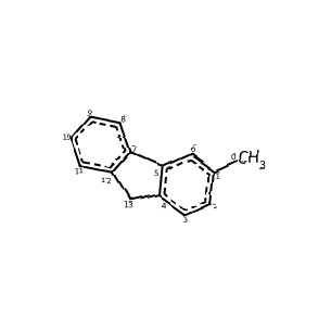 Cc1ccc2c(c1)-c1ccccc1C2